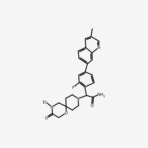 CCN1CC2(CCN(C(C(N)=O)c3ccc(-c4ccc5cc(C)cnc5c4)cc3F)CC2)OCC1=O